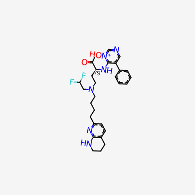 CC(=O)[C@H](CCN(CCCCc1ccc2c(n1)NCCC2)CC(F)F)Nc1c(-c2ccccc2)cnc[n+]1O